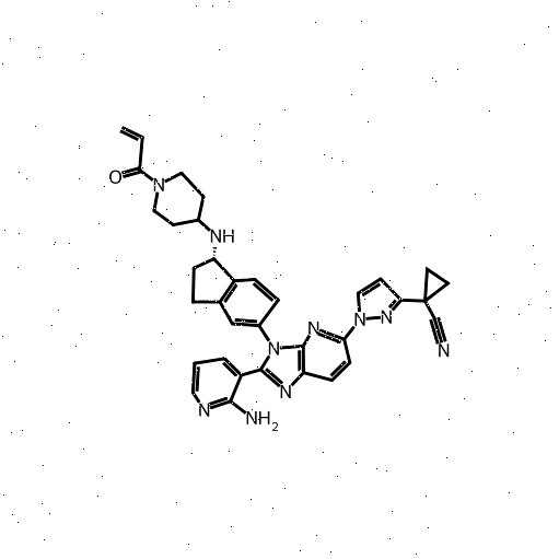 C=CC(=O)N1CCC(N[C@H]2CCc3cc(-n4c(-c5cccnc5N)nc5ccc(-n6ccc(C7(C#N)CC7)n6)nc54)ccc32)CC1